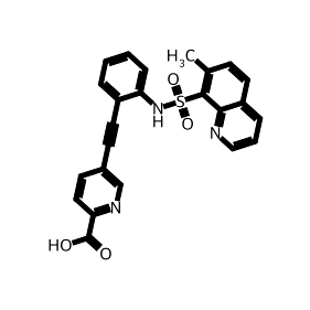 Cc1ccc2cccnc2c1S(=O)(=O)Nc1ccccc1C#Cc1ccc(C(=O)O)nc1